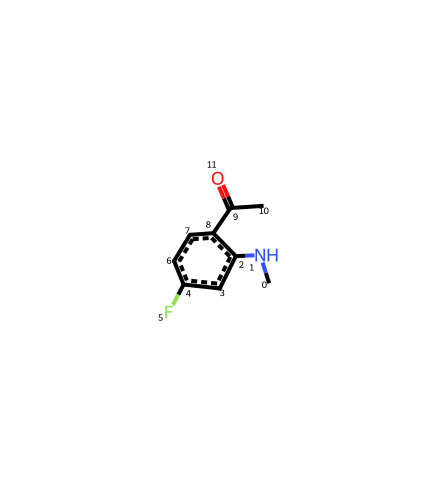 CNc1cc(F)ccc1C(C)=O